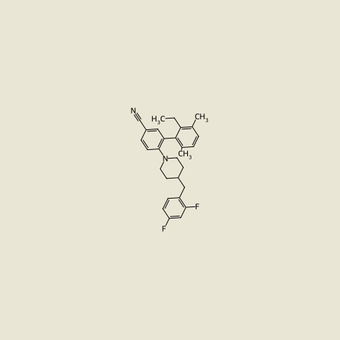 CCc1c(C)ccc(C)c1-c1cc(C#N)ccc1N1CCC(Cc2ccc(F)cc2F)CC1